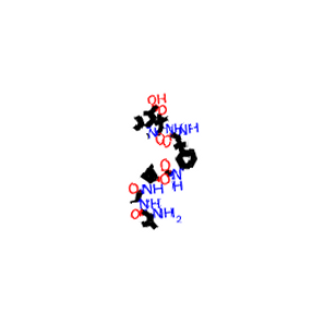 CN[C@H](C(=O)N[C@H](C(=O)N(C)[C@H](/C=C(\C)C(=O)O)C(C)C)C(C)(C)C)C(C)(C)c1cccc(NC(=O)OC2=CC[C@H]2NC(=O)[C@H](C)NC(=O)[C@@H](N)C(C)C)c1